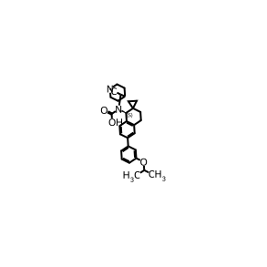 CC(C)Oc1cccc(-c2ccc3c(c2)CCC2(CC2)[C@@H]3N(C(=O)O)C2CN3CCC2CC3)c1